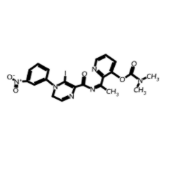 CC(=NC(=O)C1=C(I)N(c2cccc([N+](=O)[O-])c2)CC=N1)c1ncccc1OC(=O)N(C)C